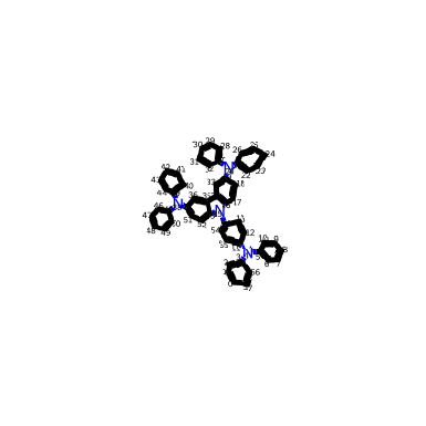 c1ccc(N(c2ccccc2)c2ccc(-n3c4ccc(N(c5ccccc5)c5ccccc5)cc4c4cc(N(c5ccccc5)c5ccccc5)ccc43)cc2)cc1